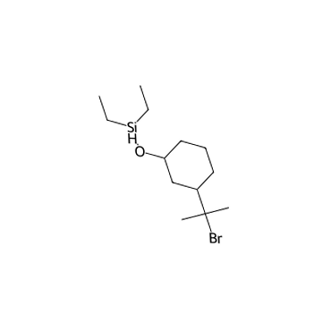 CC[SiH](CC)OC1CCCC(C(C)(C)Br)C1